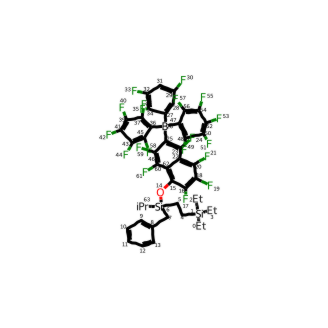 CC[Si](CC)(CC)CC[Si](Cc1ccccc1)(Oc1c(F)c(F)c(F)c2c(F)c([B-](c3cc(F)cc(F)c3F)(c3c(F)c(F)c(F)c(F)c3F)c3c(F)c(F)c(F)c(F)c3F)c(F)c(F)c12)C(C)C